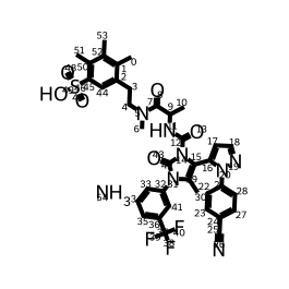 Cc1c(CCN(C)C(=O)C(C)NC(=O)n2c(-c3ccnn3-c3ccc(C#N)cc3)c(C)n(-c3cccc(C(F)(F)F)c3)c2=O)cc(S(=O)(=O)O)c(C)c1C.N